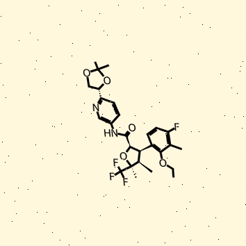 CCOc1c([C@H]2[C@@H](C)[C@@](C)(C(F)(F)F)O[C@H]2C(=O)Nc2ccc([C@@H]3COC(C)(C)O3)nc2)ccc(F)c1C